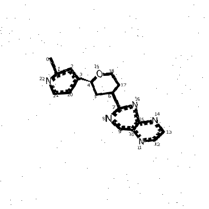 Cc1cc([C@@H]2CC(c3ncc4nccnc4n3)CCO2)ccn1